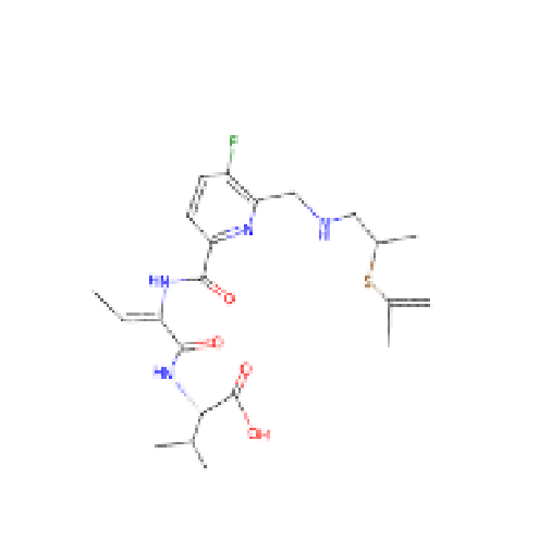 C=C(C)SC(C)CNCc1nc(C(=O)N/C(=C\C)C(=O)N[C@H](C(=O)O)C(C)C)ccc1F